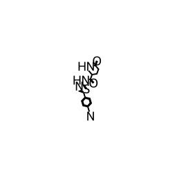 N#Cc1ccc(-c2cnc(NC(=O)C3CCC(=O)NC3)s2)cc1